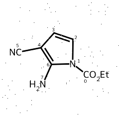 CCOC(=O)n1ccc(C#N)c1N